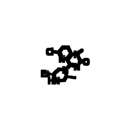 CC[C@@H]1CN(c2nc(=O)n(C)c3ccc(Cl)nc23)[C@@H](C)CN1